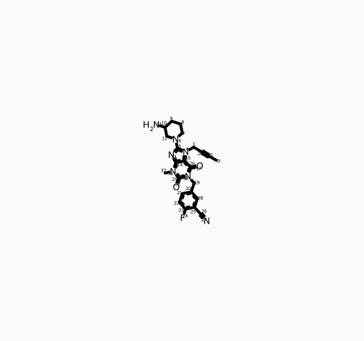 CC#CCn1c(N2CCCC(N)C2)nc2c1c(=O)n(Cc1ccc(F)c(C#N)c1)c(=O)n2C